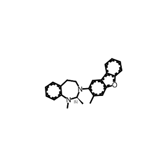 Cc1cc2oc3ccccc3c2cc1N1CCc2ccccc2N(C)[C@@H]1C